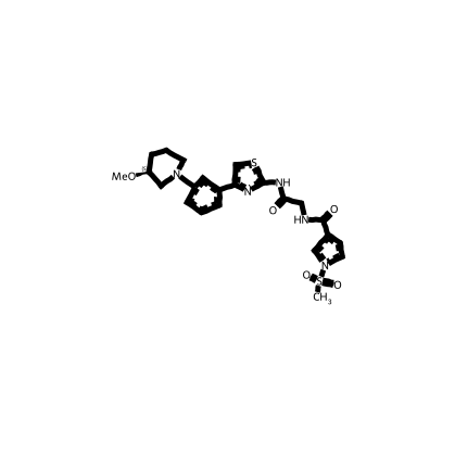 CO[C@H]1CCCN(c2cccc(-c3csc(NC(=O)CNC(=O)c4ccn(S(C)(=O)=O)c4)n3)c2)C1